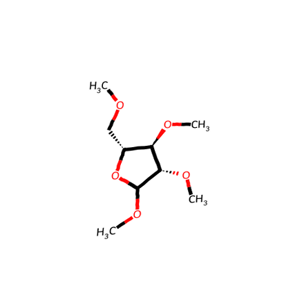 COC[C@H]1OC(OC)[C@@H](OC)[C@@H]1OC